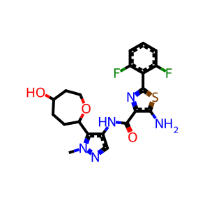 Cn1ncc(NC(=O)c2nc(-c3c(F)cccc3F)sc2N)c1C1CCC(O)CCO1